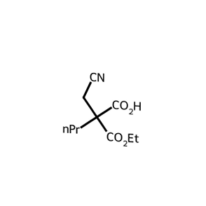 CCCC(CC#N)(C(=O)O)C(=O)OCC